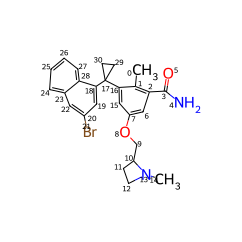 Cc1c(C(N)=O)cc(OCC2CCN2C)cc1C1(c2cc(Br)cc3ccccc23)CC1